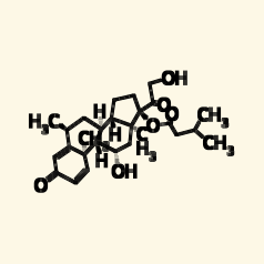 CC(C)CC(=O)O[C@]1(C(=O)CO)CC[C@H]2[C@@H]3C[C@H](C)C4=CC(=O)C=C[C@]4(C)[C@H]3[C@@H](O)C[C@@]21C